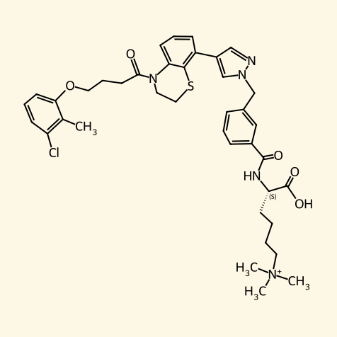 Cc1c(Cl)cccc1OCCCC(=O)N1CCSc2c(-c3cnn(Cc4cccc(C(=O)N[C@@H](CCCC[N+](C)(C)C)C(=O)O)c4)c3)cccc21